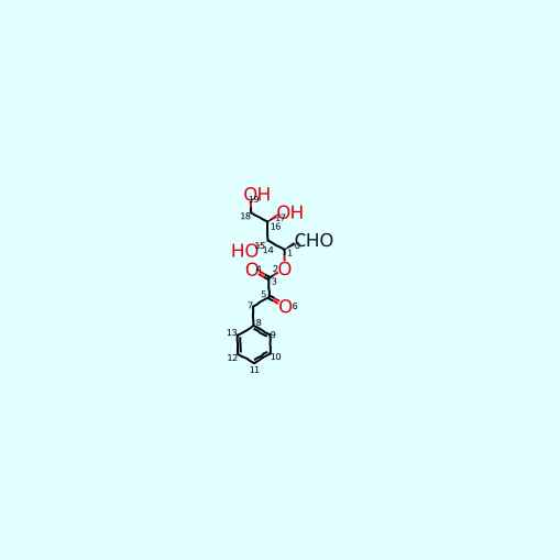 O=C[C@@H](OC(=O)C(=O)Cc1ccccc1)[C@H](O)[C@H](O)CO